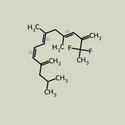 C=C(/C=C\C=C(/C)C/C(C)=C/C(=C)C(C)(F)F)CC(C)C